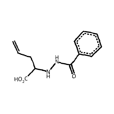 C=CCC(NNC(=O)c1ccccc1)C(=O)O